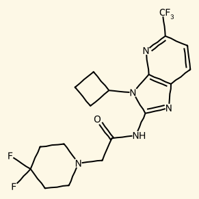 O=C(CN1CCC(F)(F)CC1)Nc1nc2ccc(C(F)(F)F)nc2n1C1CCC1